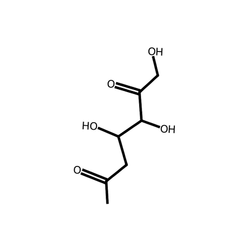 CC(=O)CC(O)C(O)C(=O)CO